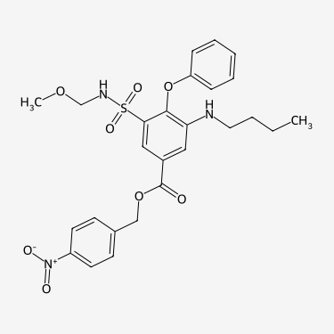 CCCCNc1cc(C(=O)OCc2ccc([N+](=O)[O-])cc2)cc(S(=O)(=O)NCOC)c1Oc1ccccc1